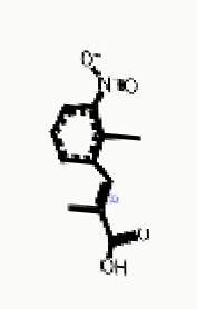 C/C(=C\c1cccc([N+](=O)[O-])c1C)C(=O)O